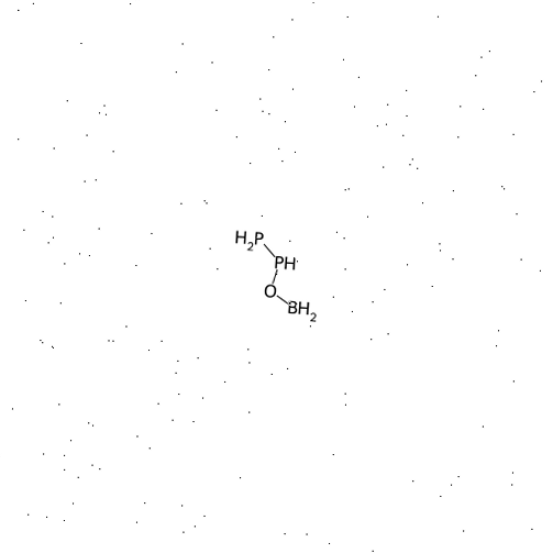 BOPP